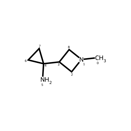 CN1CC(C2(N)CC2)C1